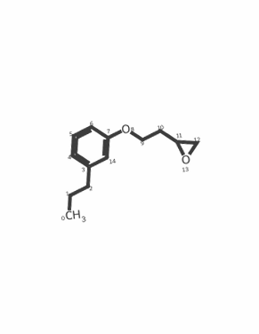 CCCC1=C=C=CC(OCCC2CO2)=C1